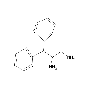 NCC(N)C(c1ccccn1)c1ccccn1